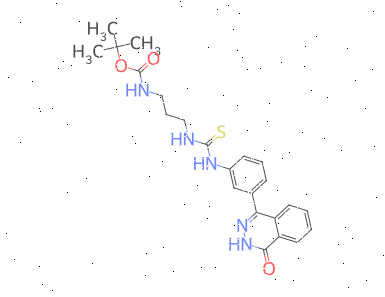 CC(C)(C)OC(=O)NCCCNC(=S)Nc1cccc(-c2n[nH]c(=O)c3ccccc23)c1